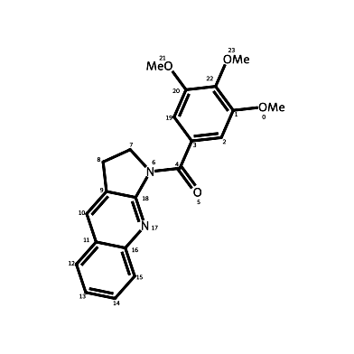 COc1cc(C(=O)N2CCc3cc4ccccc4nc32)cc(OC)c1OC